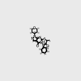 CC(Sc1nc2c(cnn2C2CCOCC2)c(=O)[nH]1)c1nc2ccccc2o1